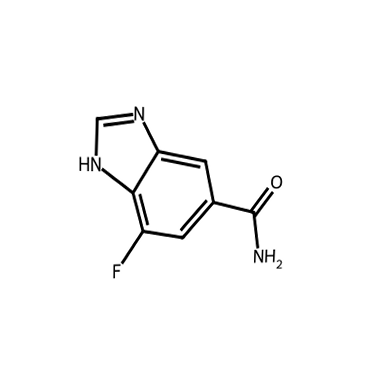 NC(=O)c1cc(F)c2[nH]cnc2c1